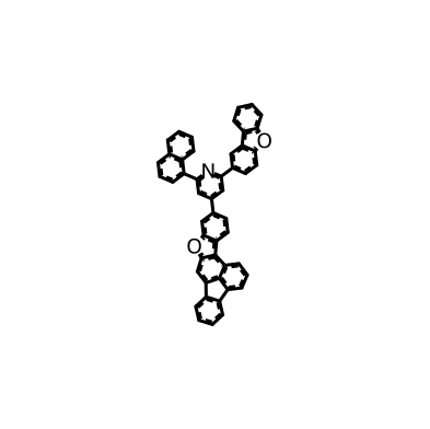 c1ccc2c(c1)-c1cccc3c1c-2cc1oc2cc(-c4cc(-c5ccc6oc7ccccc7c6c5)nc(-c5cccc6ccccc56)c4)ccc2c13